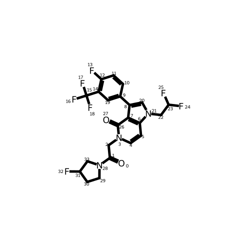 O=C(Cn1ccc2c(c(-c3ccc(F)c(C(F)(F)F)c3)cn2CC(F)F)c1=O)N1CCC(F)C1